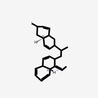 C/C=C1\C(CC(C)C2C=C[C@H]3CC(I)C=CC3C2)C=CC2C=CC=C[C@@H]12